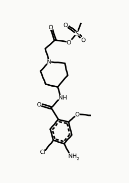 COc1cc(N)c(Cl)cc1C(=O)NC1CCN(CC(=O)OS(C)(=O)=O)CC1